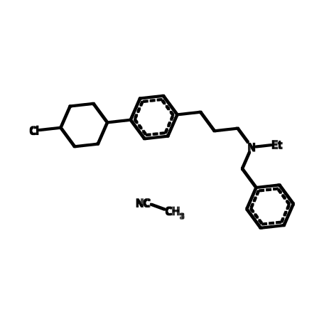 CC#N.CCN(CCCc1ccc(C2CCC(Cl)CC2)cc1)Cc1ccccc1